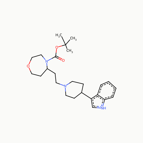 CC(C)(C)OC(=O)N1CCOCCC1CCN1CCC(c2c[nH]c3ccccc23)CC1